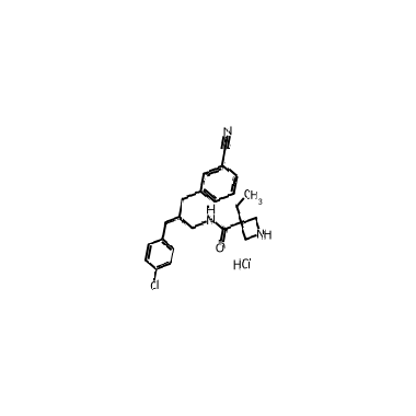 CCC1(C(=O)NCC(Cc2ccc(Cl)cc2)Cc2cccc(C#N)c2)CNC1.Cl